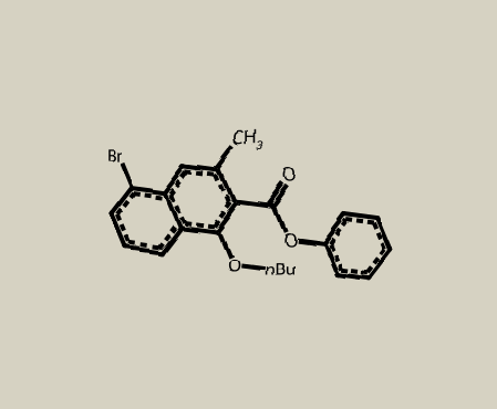 CCCCOc1c(C(=O)Oc2ccccc2)c(C)cc2c(Br)cccc12